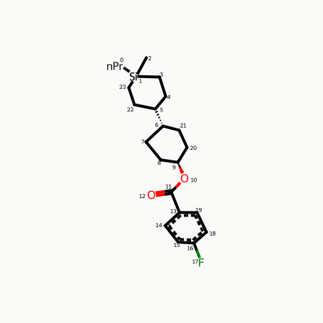 CCC[Si]1(C)CCC([C@H]2CC[C@H](OC(=O)c3ccc(F)cc3)CC2)CC1